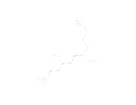 CCCCCCCCCCCC[S+](C)CCC(O)CCC(=O)[O-]